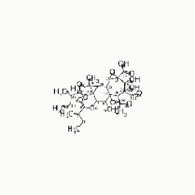 CCC(C)C(=O)OC1C(C)C2(O)C(C3OC3(C(=O)O)C(O)C3(O)C(=O)OC(C)C32)C2C(C)(C)C12OC(=O)C(C)CC